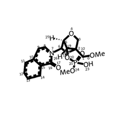 COCC12CO[C@H](C(n3ccc4ccccc4c3=O)O1)[C@H]2OP(=O)(O)OC